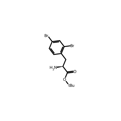 CC(C)(C)OC(=O)[C@@H](N)Cc1ccc(Br)cc1Br